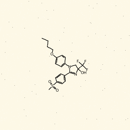 CCCCOc1ccc(N2CC(O)(C(F)(F)F)N=C2c2ccc(S(C)(=O)=O)cc2)cc1